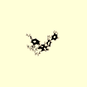 CCOc1ccc(-n2c(C)c3c(C)nnc(N4CCN(c5cccc(C)c5)C(C)C4)c3c2C)c(OC)c1